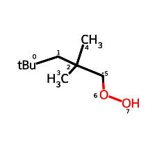 CC(C)(C)CC(C)(C)[CH]OO